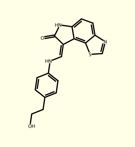 O=C1Nc2ccc3ncsc3c2C1=CNc1ccc(CCO)cc1